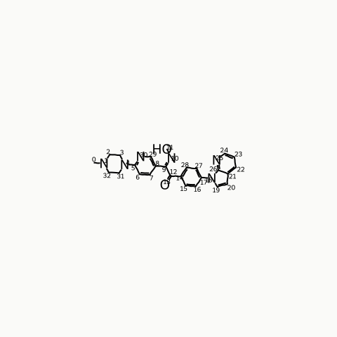 CN1CCN(c2ccc(C(=NO)C(=O)c3ccc(-n4ccc5cccnc54)cc3)cn2)CC1